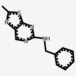 Cc1nc2cnc(NCc3ccccc3)nc2s1